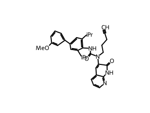 C#CCCCN(C(=O)Nc1c(C(C)C)cc(-c2cccc(OC)c2)cc1C(C)C)c1cc2cccnc2[nH]c1=O